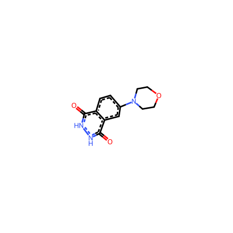 O=c1[nH][nH]c(=O)c2cc(N3CCOCC3)ccc12